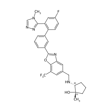 Cn1cnnc1-c1cc(F)ccc1-c1cccc(-c2nc3cc(CN[C@@H]4CCC[C@]4(C)O)cc(C(F)(F)F)c3o2)c1